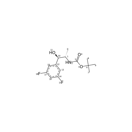 C[C@H](NC(=O)OC(C)(C)C)[C@H](O)c1cc(F)cc(F)c1